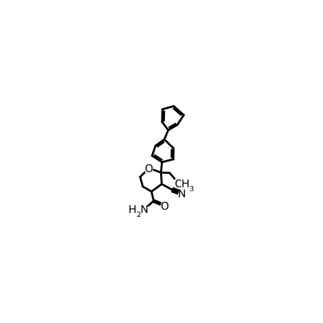 CCC1(c2ccc(-c3ccccc3)cc2)OCCC(C(N)=O)C1C#N